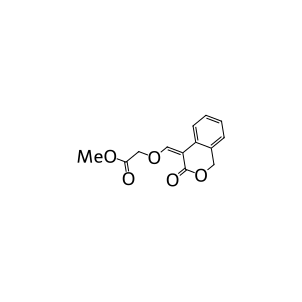 COC(=O)COC=C1C(=O)OCc2ccccc21